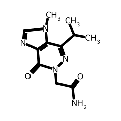 CC(C)c1nn(CC(N)=O)c(=O)c2ncn(C)c12